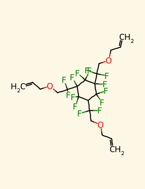 C=CCOCC(F)(F)C1C(F)(F)C(F)(C(F)(F)COCC=C)C(F)(F)C(F)(C(F)(F)COCC=C)C1(F)F